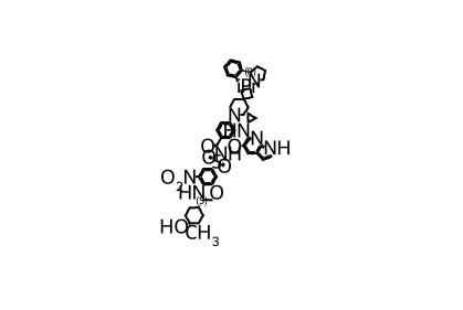 CC(C)c1ccccc1[C@H]1CCCN1C1CC2(CCN(c3ccc(C(=O)NS(=O)(=O)c4cc5c(c([N+](=O)[O-])c4)N[C@@H](C4CCC(C)(O)CC4)CO5)c(Oc4cc5cc[nH]c5nc4NC4CC4)c3)CC2)C1